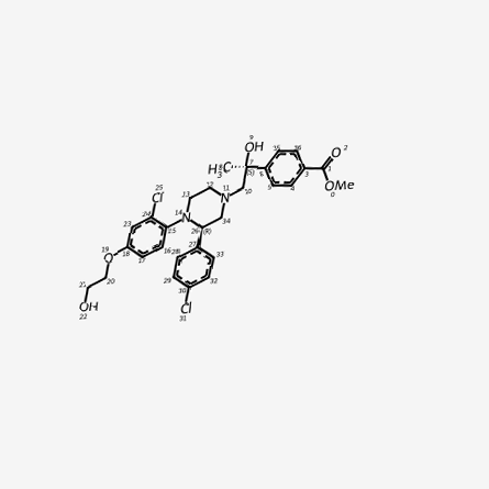 COC(=O)c1ccc([C@](C)(O)CN2CCN(c3ccc(OCCO)cc3Cl)[C@H](c3ccc(Cl)cc3)C2)cc1